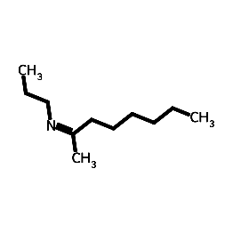 CCCCCC/C(C)=N\CCC